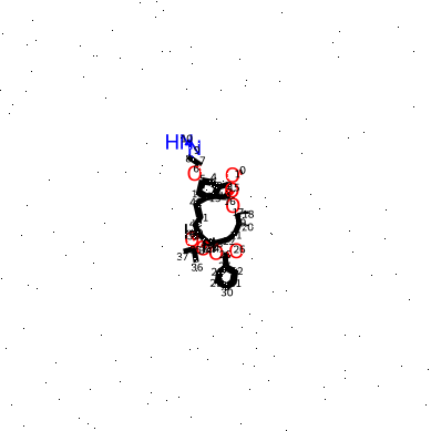 COCc1cc(OCCN=N)cc2c1C(=O)O[C@@H](C)[C@H](C)CCC(OC(=O)c1ccccc1)[C@H]1OC(C)(C)O[C@H]1C/C=C/2